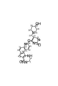 O=C1NCCNc2c1sc1ccc3nc(Oc4nc(Cl)ncc4CN4CCC(O)CC4)ccc3c21